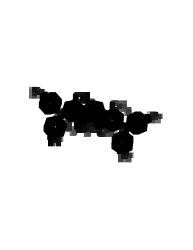 CC1=CC(N(c2ccc(C(C)C)cc2)c2ccc(C(C)C)cc2)=CC2C1c1ccc3c(c1C2(C)C)C(C)(C)c1cc(N(c2ccc(C(C)C)cc2)C2C=CC(C(C)C)=CC2)cc(C)c1-3